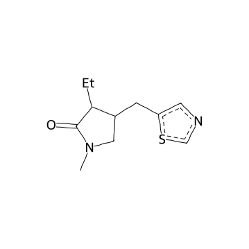 CCC1C(=O)N(C)CC1Cc1cncs1